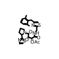 CC(=O)O[C@@H](C(=O)NCc1nc(Cc2c(C)cccc2C)cs1)[C@@H](OC(C)=O)C(=O)N1CCCC1c1nccs1